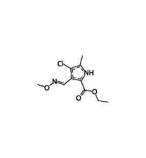 CCOC(=O)c1[nH]c(C)c(Cl)c1C=NOC